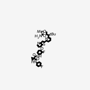 COCC(OC(N)=O)C(c1cccc(-c2cc3nccc(Oc4ccc(NC(=O)C5(C(=O)Nc6ccc(F)cc6)CC5)cc4F)c3s2)n1)C(C)(C)C